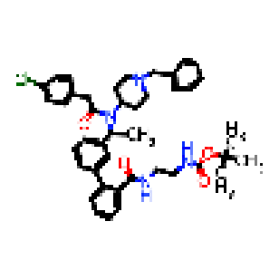 CC(c1cccc(-c2ccccc2C(=O)NCCNC(=O)OC(C)(C)C)c1)N(C(=O)Cc1ccc(Cl)cc1)C1CCN(Cc2ccccc2)CC1